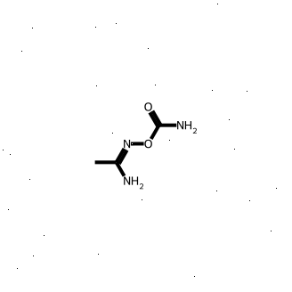 CC(N)=NOC(N)=O